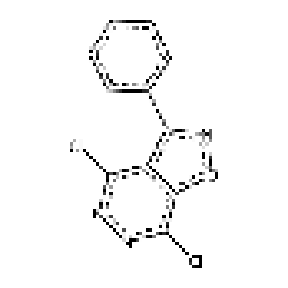 Clc1nnc(Cl)c2c(-c3ccccc3)noc12